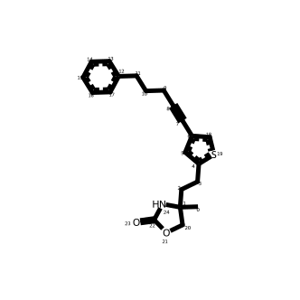 CC1(CCc2cc(C#CCCCc3ccccc3)cs2)COC(=O)N1